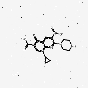 O=C(O)c1cn(C2CC2)c2nc(N3CCNCC3)c([N+](=O)[O-])cc2c1=O